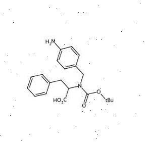 CC(C)(C)OC(=O)N(Cc1ccc(N)cc1)C(Cc1ccccc1)C(=O)O